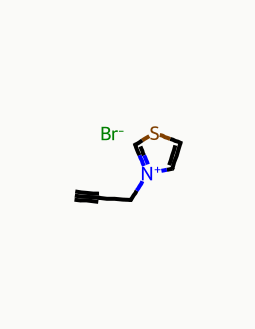 C#CC[n+]1ccsc1.[Br-]